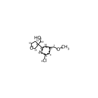 COCc1cc(Cl)nc([C@@]2(CO)CCOC2)c1